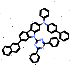 c1ccc(-c2ccc(N(c3ccccc3)c3ccc4c5ccc(-c6ccc7ccccc7c6)cc5n(-c5nc(-c6ccccc6)nc(-c6ccccc6)n5)c4c3)cc2)cc1